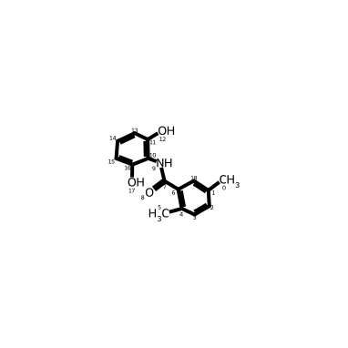 Cc1ccc(C)c(C(=O)Nc2c(O)cccc2O)c1